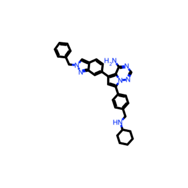 Nc1ncnn2c(-c3ccc(CNC4CCCCC4)cc3)cc(-c3ccc4cn(Cc5ccccc5)nc4c3)c12